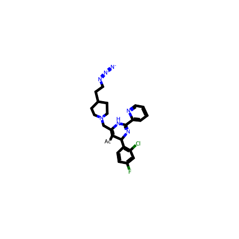 CC(=O)C1=C(CN2CCC(CCN=[N+]=[N-])CC2)NC(c2ccccn2)=NC1c1ccc(F)cc1Cl